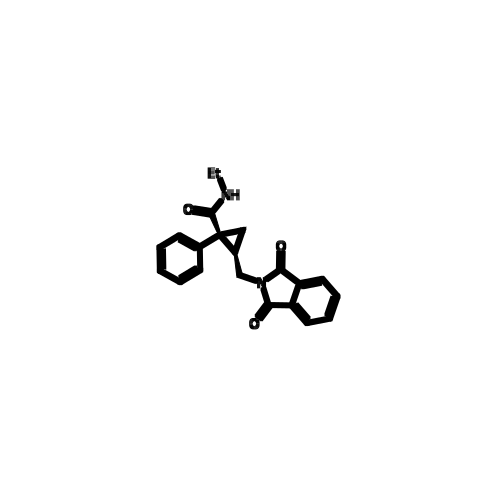 CCNC(=O)[C@@]1(c2ccccc2)C[C@H]1CN1C(=O)c2ccccc2C1=O